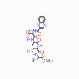 COC(=O)C(C(C)C)N(C)C(=O)[C@H](CS)N(C)C(=O)C(C)NC(=O)C(CO)NC(=O)c1cnc2ccccc2n1